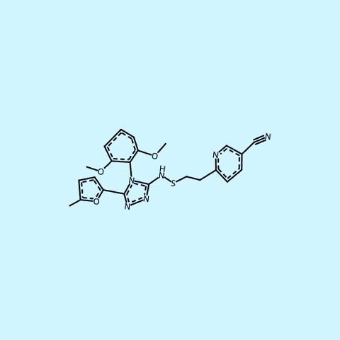 COc1cccc(OC)c1-n1c(NSCCc2ccc(C#N)cn2)nnc1-c1ccc(C)o1